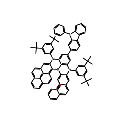 CC(C)(C)c1cc(N2c3cc(-c4ccc5c6ccccc6n(-c6ccccc6)c5c4)cc4c3B(c3c2cc2ccc5cccc6ccc3c2c56)c2c(cc3ccc5cccc6ccc2c3c56)N4c2cc(C(C)(C)C)cc(C(C)(C)C)c2)cc(C(C)(C)C)c1